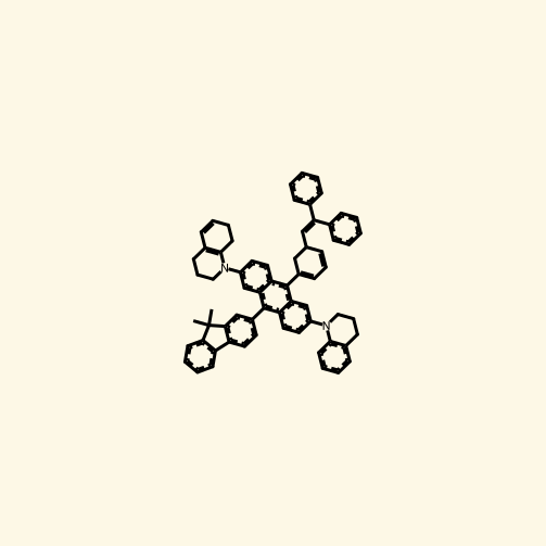 CC1(C)c2ccccc2-c2ccc(-c3c4ccc(N5CCCc6ccccc65)cc4c(C4=CC=CC(C=C(c5ccccc5)c5ccccc5)C4)c4ccc(N5CCCC6=C5CCC=C6)cc34)cc21